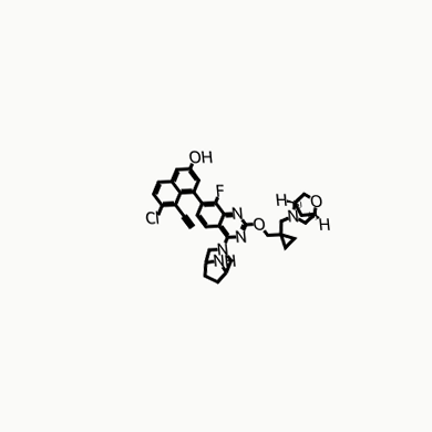 C#Cc1c(Cl)ccc2cc(O)cc(-c3ccc4c(N5CC6CCC(C5)N6)nc(OCC5(CN6C[C@@H]7C[C@H]6CO7)CC5)nc4c3F)c12